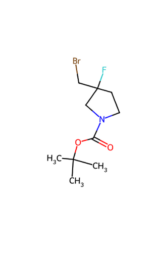 CC(C)(C)OC(=O)N1CCC(F)(CBr)C1